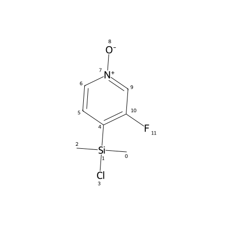 C[Si](C)(Cl)c1cc[n+]([O-])cc1F